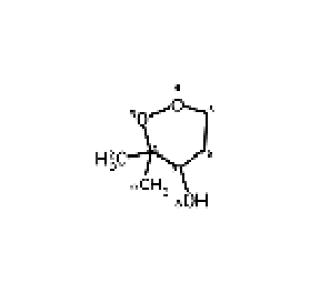 CC1(C)OOCCC1O